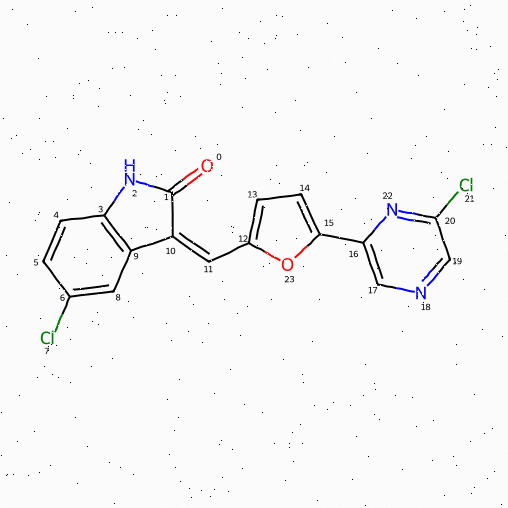 O=C1Nc2ccc(Cl)cc2C1=Cc1ccc(-c2cncc(Cl)n2)o1